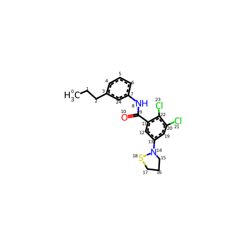 CCCc1cccc(NC(=O)c2cc(N3CCCS3)cc(Cl)c2Cl)c1